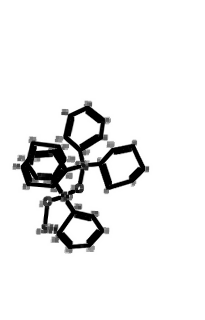 [SiH3]O[Si](O[Si](c1ccccc1)(c1ccccc1)c1ccccc1)(c1ccccc1)c1ccccc1